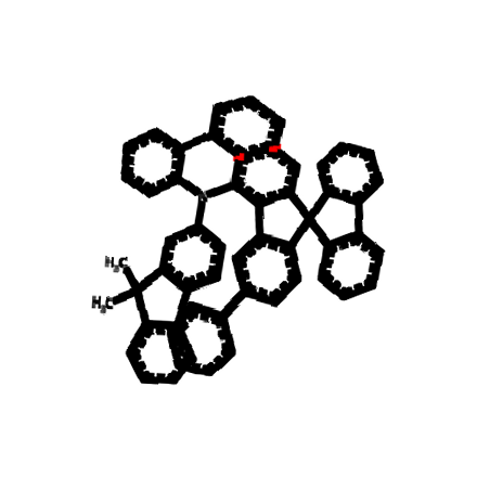 CC1(C)c2ccccc2-c2ccc(N(c3ccccc3-c3ccccc3)c3cccc4c3-c3cc(-c5ccccc5)ccc3C43c4ccccc4-c4ccccc43)cc21